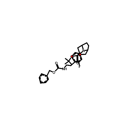 CC(C)(C)OC(=O)N1CC2CCC(C1)N2c1ccc(CCNC(=O)OCc2ccccc2)c(F)c1